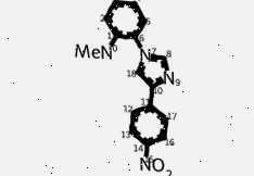 CNc1ccccc1-n1cnc(-c2ccc([N+](=O)[O-])cc2)c1